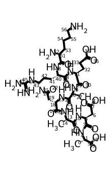 C[C@H](NC(=O)[C@H](CC(=O)O)NC(=O)[C@H](C)NC(=O)[C@H](CC(N)=O)NC(=O)[C@H](C)NC(=O)[C@H](CCC(=O)O)NC(=O)[C@H](CCCNC(=N)N)NC(=O)[C@@H](N)CCCCN)C(=O)O